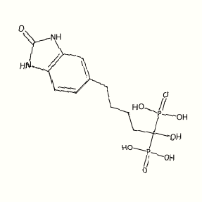 O=c1[nH]c2ccc(CCCCC(O)(P(=O)(O)O)P(=O)(O)O)cc2[nH]1